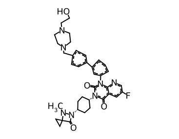 CN1N([C@H]2CC[C@@H](n3c(=O)c4cc(F)cnc4n(-c4cccc(-c5ccc(CN6CCN(CCO)CC6)cc5)c4)c3=O)CC2)C(=O)C12CC2